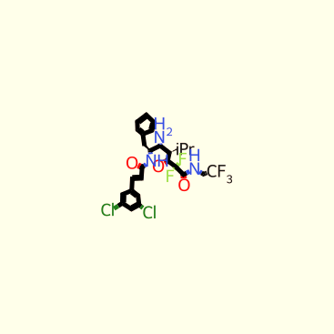 CC(C)[C@H](C(=O)C(F)(F)C(=O)NCC(F)(F)F)C(N)[C@H](Cc1ccccc1)NC(=O)/C=C/c1cc(Cl)cc(Cl)c1